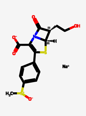 C[S+]([O-])c1ccc(C2=C(C(=O)[O-])N3C(=O)[C@H](CCO)[C@H]3S2)cc1.[Na+]